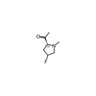 CC(=O)[C@@H]1CC(F)CN1C